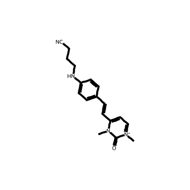 Cn1c(C=Cc2ccc(NCCCC#N)cc2)cc[n+](C)c1=O